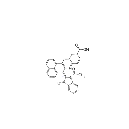 CC(=O)N1/C(=C\c2nc3ccc(C(=O)O)cc3cc2-c2cccc3ccccc23)C(=O)c2ccccc21